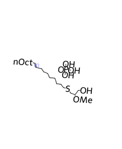 CCCCCCCC/C=C/CCCCCCCCSCC(CO)OC.O=P(O)(O)O